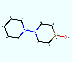 [O-][S+]1CCN(N2CCCCC2)CC1